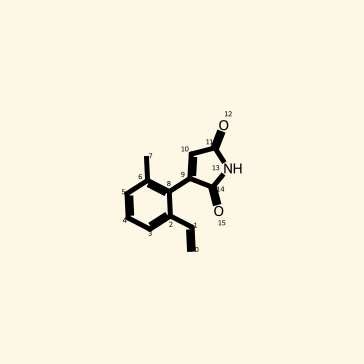 C=Cc1cccc(C)c1C1=CC(=O)NC1=O